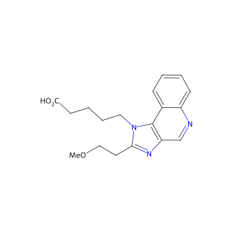 COCCc1nc2cnc3ccccc3c2n1CCCCC(=O)O